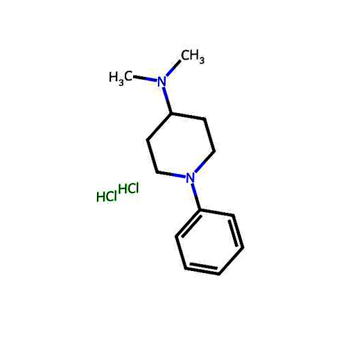 CN(C)C1CCN(c2ccccc2)CC1.Cl.Cl